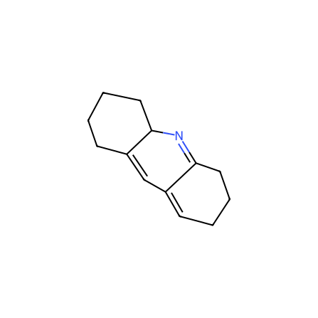 C1=C2C=C3CCCCC3N=C2CCC1